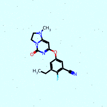 CCc1cc(Oc2cc3n(c(=O)n2)CCN3C)cc(C#N)c1F